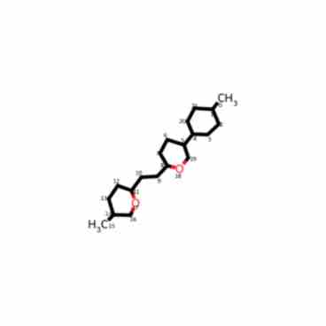 CC1CCC(C2CCC(CCC3CCC(C)CO3)OC2)CC1